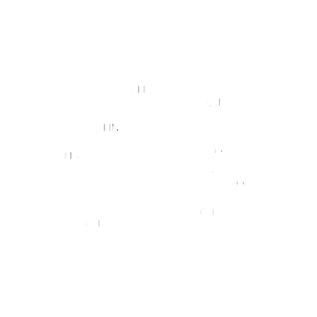 CCCC(S)CNC(C)C(CCC)CCCC(C)C(=O)O